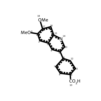 COc1cc2cc(-c3ccc(C(=O)O)cc3)cnc2cc1OC